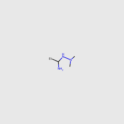 CCC(N)NN(C)C